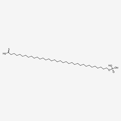 O=P(O)(O)OCCCCCCCCCCCCCCCCCCCCCCCCCCCCCCCCCCC(=S)S